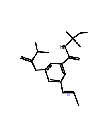 C=C(NC(C)(C)CC)c1cc(/C=C/C)cc(CC(=C)C(C)C)c1